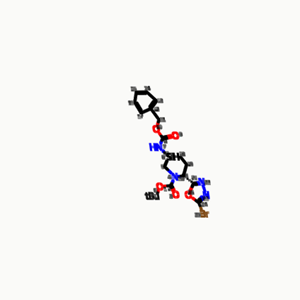 CC(C)(C)OC(=O)N1C[Si@@H](NC(=O)OCc2ccccc2)CC[C@@H]1c1nnc(Br)o1